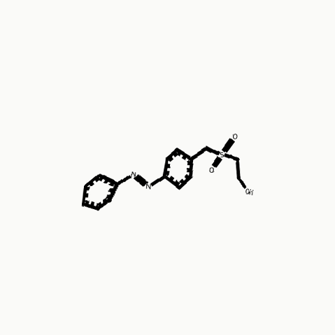 O=S(=O)(CCO)Cc1ccc(N=Nc2ccccc2)cc1